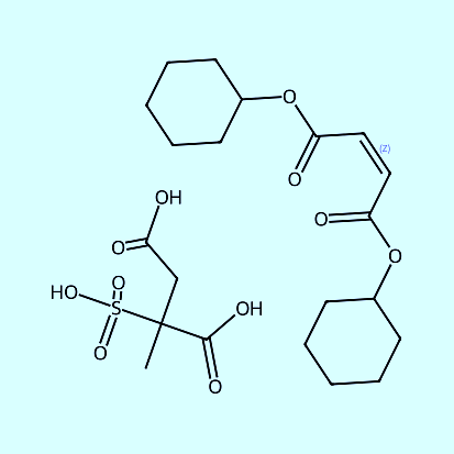 CC(CC(=O)O)(C(=O)O)S(=O)(=O)O.O=C(/C=C\C(=O)OC1CCCCC1)OC1CCCCC1